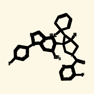 Cc1cc2c(cnn2-c2ccc(F)cc2)cc1[C@]12CN(C(=O)c3ncccc3F)C[C@H]1[C@@H]2C1(C)C=CC=CC1